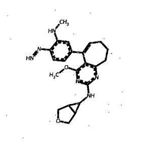 CNc1cc(C2=CCCCc3nc(NC4C5COCC54)nc(OC)c32)ccc1N=N